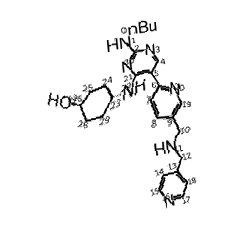 CCCCNc1ncc(-c2ccc(CNCc3ccncc3)cn2)c(N[C@H]2CC[C@H](O)CC2)n1